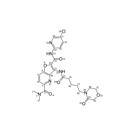 CN(C)C(=O)c1ccc2oc(C(=O)Nc3ccc(Cl)cn3)c(NC(=O)CCCCN3CCOCC3=O)c2n1